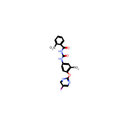 O=C(NC(=O)c1ccccc1[N+](=O)[O-])Nc1ccc(Oc2ncc(I)cn2)c([N+](=O)[O-])c1